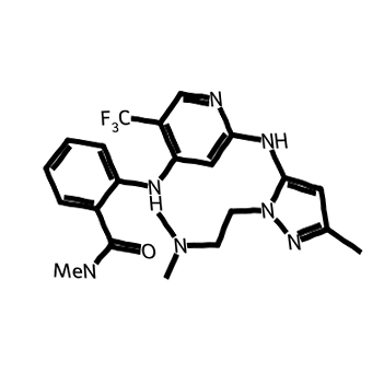 CNC(=O)c1ccccc1Nc1cc(Nc2cc(C)nn2CCN(C)C)ncc1C(F)(F)F